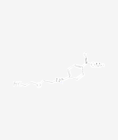 COC(=O)c1ccc(/C=N/CCOCCO)cc1